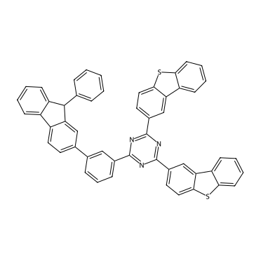 c1ccc(C2c3ccccc3-c3ccc(-c4cccc(-c5nc(-c6ccc7sc8ccccc8c7c6)nc(-c6ccc7sc8ccccc8c7c6)n5)c4)cc32)cc1